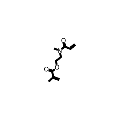 C=CC(=O)N(C)CCOC(=O)C(=C)C